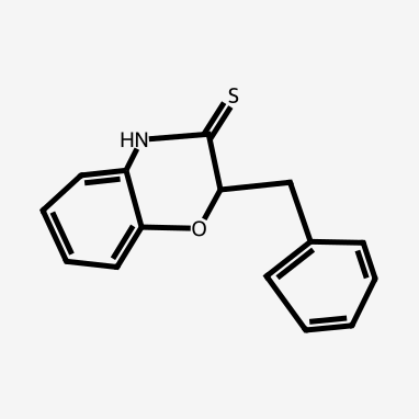 S=C1Nc2ccccc2OC1Cc1ccccc1